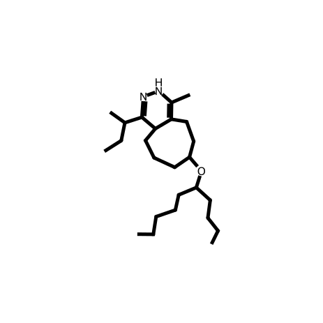 CCCCCC(CCCC)OC1CCCC2C(C(C)CC)=NNC(C)=C2CC1